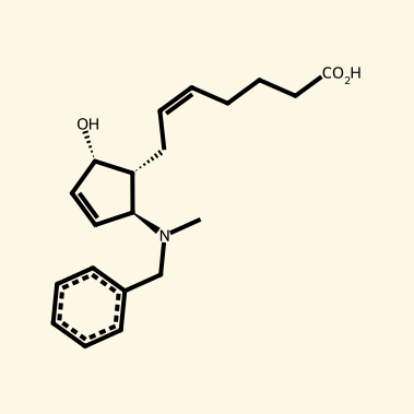 CN(Cc1ccccc1)[C@H]1C=C[C@H](O)[C@@H]1C/C=C\CCCC(=O)O